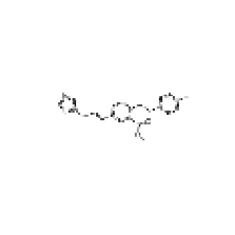 COC(=O)c1cc(C=CCn2ccnc2)ccc1CCc1ccc(F)cc1